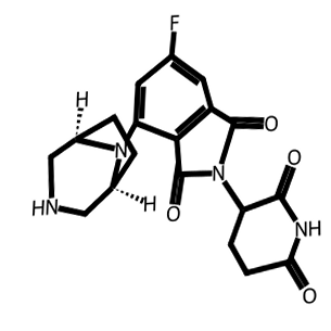 O=C1CCC(N2C(=O)c3cc(F)cc(N4[C@@H]5CC[C@H]4CNC5)c3C2=O)C(=O)N1